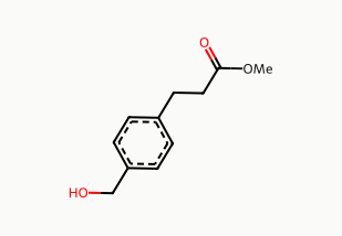 COC(=O)CCc1ccc(CO)cc1